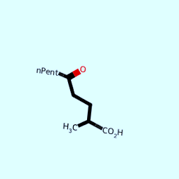 CCCCCC(=O)CCC(C)C(=O)O